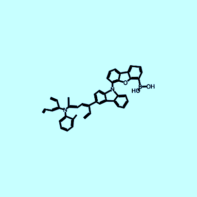 C=C/C=C(\C=C)N(/C(C)=C/C=C(\C=C)c1ccc2c(c1)c1ccccc1n2-c1cccc2c1oc1c(B(O)O)cccc12)c1ccccc1C